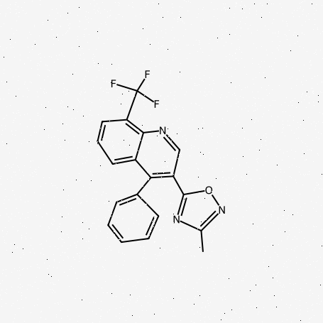 Cc1noc(-c2cnc3c(C(F)(F)F)cccc3c2-c2ccccc2)n1